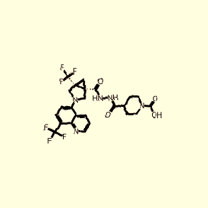 O=C(NNC(=O)[C@]12CN(c3ccc(C(F)(F)F)c4ncccc34)C[C@@]1(C(F)(F)F)C2)C1CCN(C(=O)O)CC1